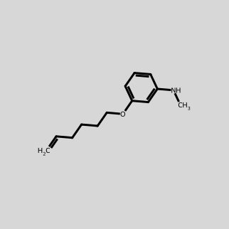 C=CCCCCOc1cccc(NC)c1